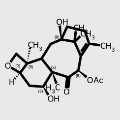 CC(=O)O[C@H]1C(=O)[C@@]2(C)C(C[C@]3(O)CCC(C)=C1C3(C)C)[C@]1(C)CO[C@@H]1C[C@@H]2O